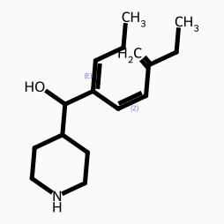 C=C(/C=C\C(=C/CC)C(O)C1CCNCC1)CC